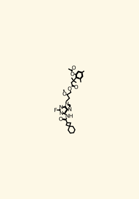 COC(CCn1cnc2c(NC(=O)C3CC4(CCCCC4)C3)nc(F)nc21)COC(=O)CC(C)(C)c1c(C)cc(C)cc1OC(C)=O